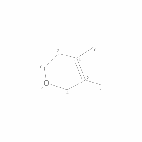 CC1=C(C)COCC1